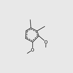 COc1ccc(C)c(C)c1OC